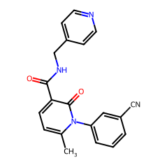 Cc1ccc(C(=O)NCc2ccncc2)c(=O)n1-c1cccc(C#N)c1